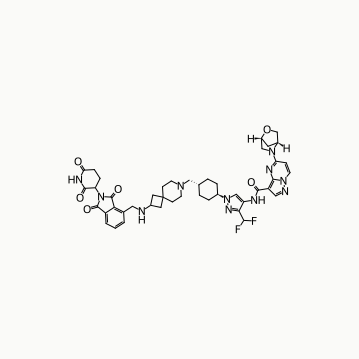 O=C1CCC(N2C(=O)c3cccc(CNC4CC5(CCN(C[C@H]6CC[C@H](n7cc(NC(=O)c8cnn9ccc(N%10C[C@H]%11C[C@@H]%10CO%11)nc89)c(C(F)F)n7)CC6)CC5)C4)c3C2=O)C(=O)N1